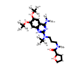 [2H]N(CCCN(c1nc(N([2H])[2H])c2cc(OC([2H])([2H])[2H])c(OC([2H])([2H])[2H])cc2n1)C([2H])([2H])[2H])C(=O)C1CCCO1